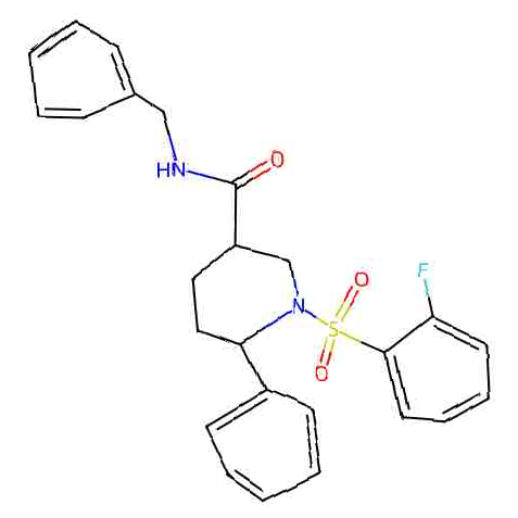 O=C(NCc1ccccc1)C1CCC(c2ccccc2)N(S(=O)(=O)c2ccccc2F)C1